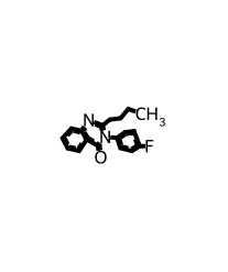 CCCCc1nc2ccccc2c(=O)n1-c1ccc(F)cc1